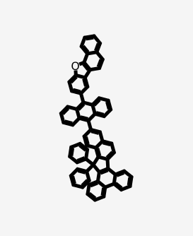 c1ccc(C2(c3ccccc3)c3c(ccc4cc(-c5c6ccccc6c(-c6ccc7oc8c9ccccc9ccc8c7c6)c6ccccc56)ccc34)-c3c2c2ccccc2c2ccccc32)cc1